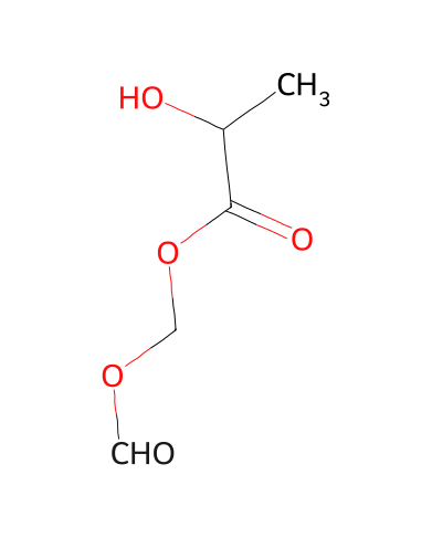 CC(O)C(=O)OCOC=O